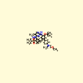 COCCN(C)C1CCC(c2cc(OC(C)C)c(Nc3ncc(C)c(Nc4ccccc4S(=O)(=O)C(C)C)n3)cc2C)CC1